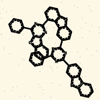 c1ccc(-c2nc(-c3ccc4c(c3)sc3ccccc34)nc(-c3ccc4sc5cccc(-c6nc(-c7ccccc7)c7oc8ccccc8c7n6)c5c4c3)n2)cc1